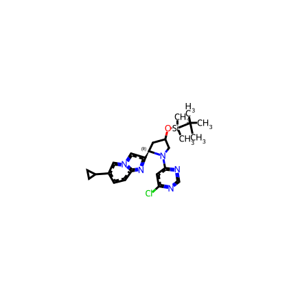 CC(C)(C)[Si](C)(C)OC1C[C@H](c2cn3cc(C4CC4)ccc3n2)N(c2cc(Cl)ncn2)C1